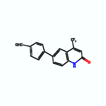 O=Cc1ccc(-c2ccc3[nH]c(=O)cc(C(F)(F)F)c3c2)cc1